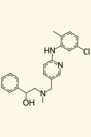 Cc1ccc(Cl)cc1Nc1ccc(CN(C)CC(O)c2ccccc2)cn1